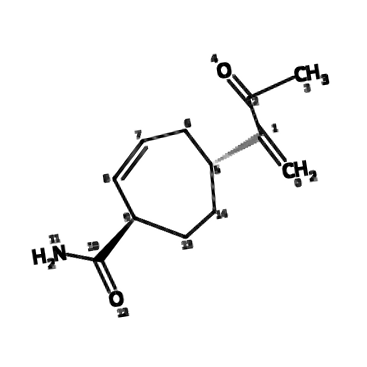 C=C(C(C)=O)[C@H]1CC=C[C@H](C(N)=O)CC1